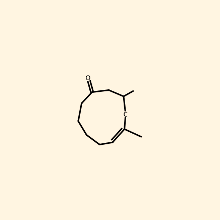 CC1=CCCCCC(=O)CC(C)C1